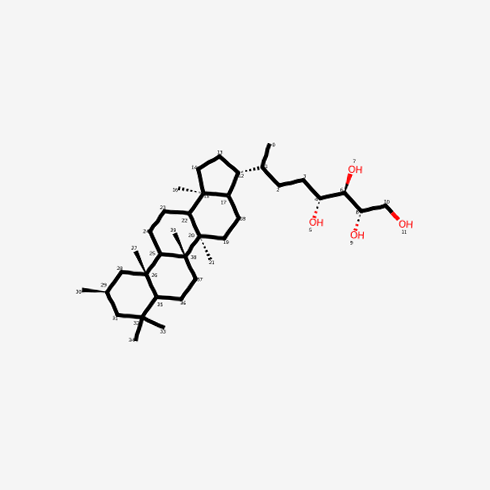 CC(CC[C@@H](O)[C@@H](O)[C@@H](O)CO)[C@H]1CC[C@@]2(C)C1CC[C@]1(C)C2CCC2[C@@]3(C)C[C@H](C)CC(C)(C)C3CC[C@]21C